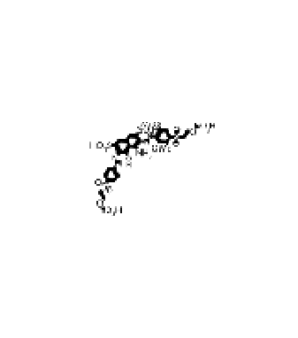 COc1cc(S(=O)(=O)CCOS(=O)(=O)O)c(OC)cc1/N=N/c1c(S(=O)(=O)O)cc2cc(S(=O)(=O)O)c(/N=N/c3ccc(S(=O)(=O)CCOS(=O)(=O)O)cc3)c(O)c2c1N